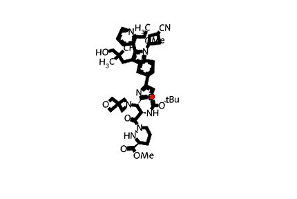 COC(=O)[C@@H]1CCCN(C(=O)[C@@H](NC(=O)OC(C)(C)C)[C@@H](c2nc(-c3ccc4c(c3)c(CC(C)(C)CO)c(-c3cccnc3[C@H](C)OC)n4C3CC(C#N)C3)co2)N2CC3(COC3)C2)N1